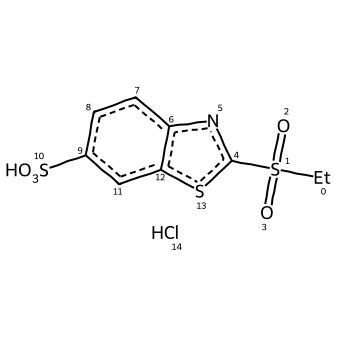 CCS(=O)(=O)c1nc2ccc(S(=O)(=O)O)cc2s1.Cl